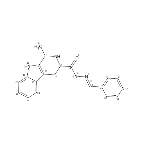 CC1NC(C(=O)N/N=C/c2ccncc2)Cc2c1[nH]c1ccccc21